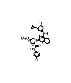 CO[C@@H]1C[C@@H](C(=O)Nc2ncc(Cl)s2)N(c2nc3c(c(Nc4cc(C5CC5)[nH]n4)n2)CCC3)C1